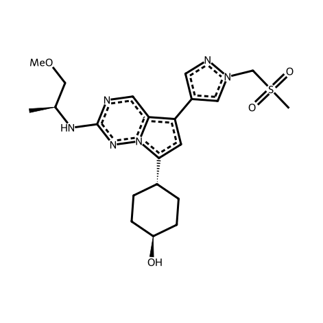 COC[C@H](C)Nc1ncc2c(-c3cnn(CS(C)(=O)=O)c3)cc([C@H]3CC[C@H](O)CC3)n2n1